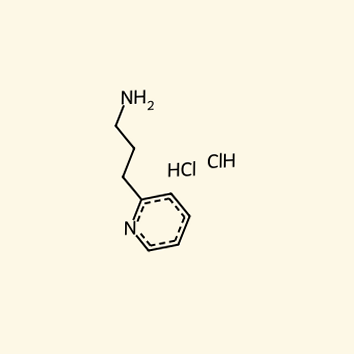 Cl.Cl.NCCCc1ccccn1